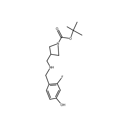 CC(C)(C)OC(=O)N1CC(CNCc2ccc(O)cc2F)C1